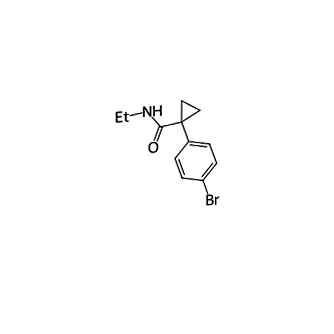 CCNC(=O)C1(c2ccc(Br)cc2)CC1